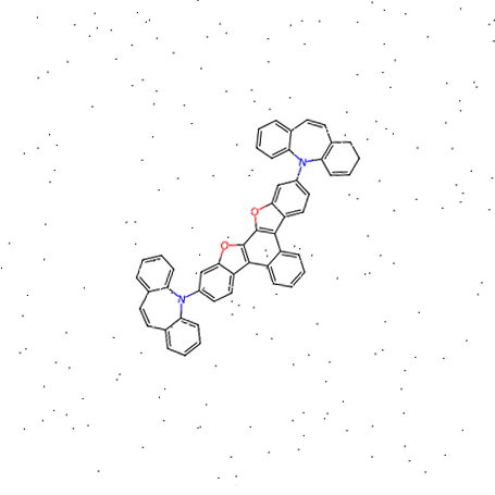 C1=CC2=C(C=Cc3ccccc3N2c2ccc3c(c2)oc2c4oc5cc(N6c7ccccc7C=Cc7ccccc76)ccc5c4c4ccccc4c32)CC1